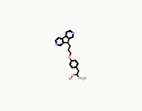 CCOC(=O)C(Cc1ccc(OCCCC2c3cnccc3-c3ccncc32)cc1)OCC